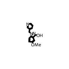 COc1ccc2c(c1)c(O)nn2Cc1cccnc1